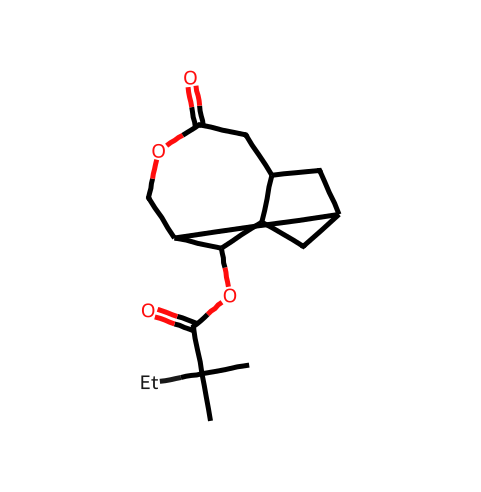 CCC(C)(C)C(=O)OC1C2COC(=O)CC3CC2CC31